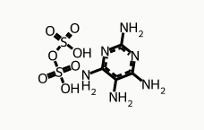 Nc1nc(N)c(N)c(N)n1.O=S(=O)(O)OS(=O)(=O)O